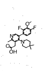 COc1c(F)ccc(-c2cnc(C)c(CC(=O)O)c2N2CCC(C)(C)CC2)c1F